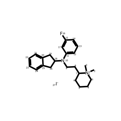 C[N+]1(C)CCCCC1CCN(c1cccc(F)c1)C1Cc2ccccc2C1.[I-]